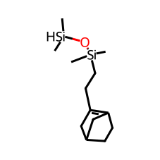 C[SiH](C)O[Si](C)(C)CCC1=C2CCC(C2)C1